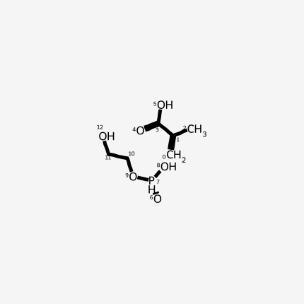 C=C(C)C(=O)O.O=[PH](O)OCCO